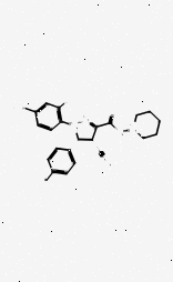 N#C[C@@H]1C(C(=O)NN2CCCCC2)=NN(c2ccc(Cl)cc2Cl)[C@H]1c1ccc(Cl)cc1